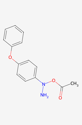 CC(=O)ON(N)c1ccc(Oc2ccccc2)cc1